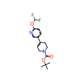 CC(C)(C)OC(=O)N1CC=C(c2ccc(OC(F)F)nc2)CC1